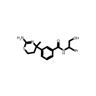 CC(C)C(CO)NC(=O)c1cccc(C2(C)CCSC(N)=N2)c1